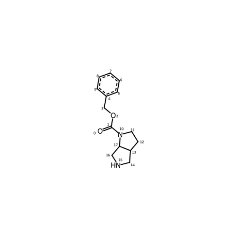 O=C(OCc1ccccc1)N1CCC2CNCC21